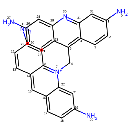 Nc1ccc2c(C[n+]3c4cc(N)ccc4cc4ccc(N)cc43)c3ccc(N)cc3nc2c1